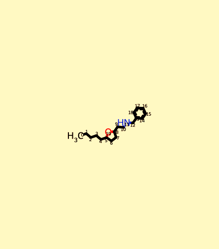 CCCCCC1CCC(CCNCc2ccccc2)O1